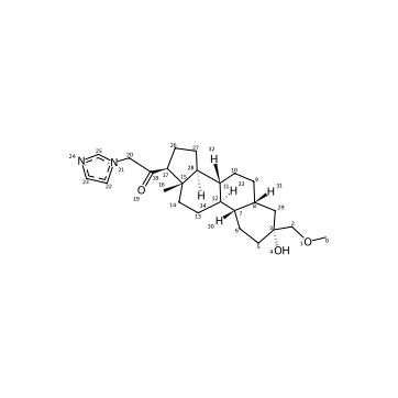 COC[C@@]1(O)CC[C@H]2[C@H](CC[C@@H]3[C@@H]2CC[C@]2(C)[C@@H](C(=O)Cn4ccnc4)CC[C@@H]32)C1